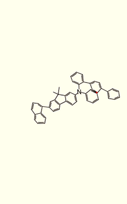 CC1(C)c2cc(-c3cccc4ccccc34)ccc2-c2ccc(N(c3ccccc3)c3ccccc3-c3ccc(-c4ccccc4)cc3)cc21